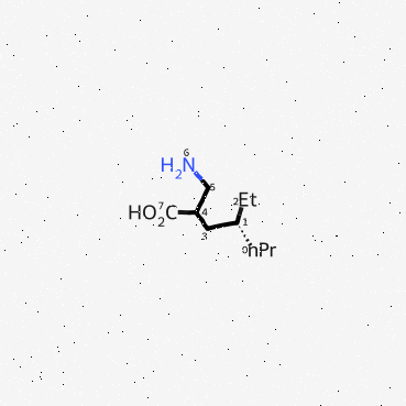 CCC[C@@H](CC)CC(CN)C(=O)O